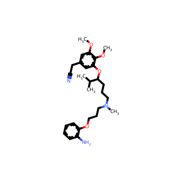 COc1cc(CC#N)cc(OC(CCCN(C)CCCOc2ccccc2N)C(C)C)c1OC